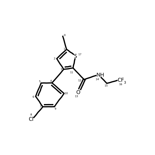 Cc1cc(-c2ccc(Cl)cc2)c(C(=O)NCC(F)(F)F)s1